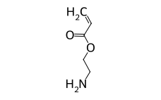 C=CC(=O)OCCN